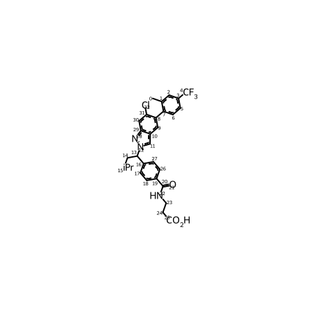 Cc1cc(C(F)(F)F)ccc1-c1cc2cn(C(CC(C)C)c3ccc(C(=O)NCCC(=O)O)cc3)nc2cc1Cl